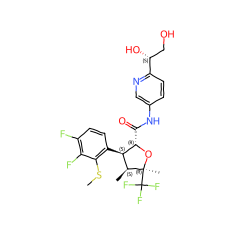 CSc1c([C@H]2[C@H](C(=O)Nc3ccc([C@H](O)CO)nc3)O[C@@](C)(C(F)(F)F)[C@H]2C)ccc(F)c1F